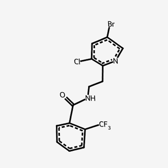 O=C(NCCc1ncc(Br)cc1Cl)c1ccccc1C(F)(F)F